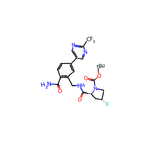 CC(C)(C)OC(=O)N1C[C@H](F)C[C@H]1C(=O)NCc1cc(-c2cnc(C(F)(F)F)nc2)ccc1C(N)=O